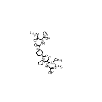 C[C@@H](O)[C@H](NC(=O)[C@H]1CCN(C(=O)[C@H]2CCCN2C(=O)[C@@H](NC(=O)O)[C@@H](C)O)C1)C(N)=O